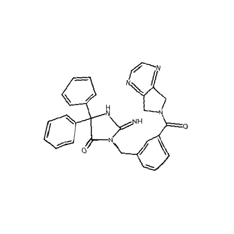 N=C1NC(c2ccccc2)(c2ccccc2)C(=O)N1Cc1cccc(C(=O)N2Cc3nccnc3C2)c1